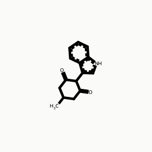 CC1CC(=O)C(c2c[nH]c3ccccc23)C(=O)C1